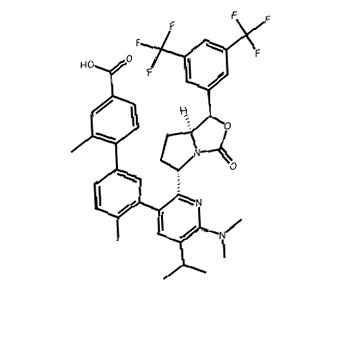 Cc1cc(C(=O)O)ccc1-c1ccc(C)c(-c2cc(C(C)C)c(N(C)C)nc2[C@@H]2CC[C@H]3[C@@H](c4cc(C(F)(F)F)cc(C(F)(F)F)c4)OC(=O)N23)c1